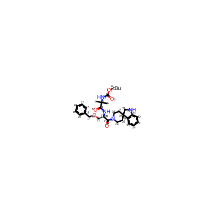 CC(C)(C)OC(=O)NC(C)(C)C(=O)N[C@H](COCc1ccccc1)C(=O)N1CCC2(CC1)CNc1ccccc12